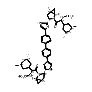 C[C@@H]1CC([C@H](NC(=O)O)C(=O)N2[C@H](c3nc(-c4ccc(-c5ccc(-c6c[nH]c([C@@H]7C[C@@]8(C)C[C@H]8N7C(=O)[C@@H](NC(=O)O)C7C[C@@H](C)O[C@H](C)C7)n6)cc5)cc4)c[nH]3)C[C@@]3(C)C[C@@H]23)C[C@@H](C)O1